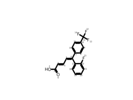 O=C(O)C=CC=C(c1ccc(C(F)(F)F)cc1)c1ccccc1F